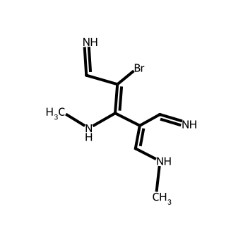 CN/C=C(C=N)/C(NC)=C(\Br)C=N